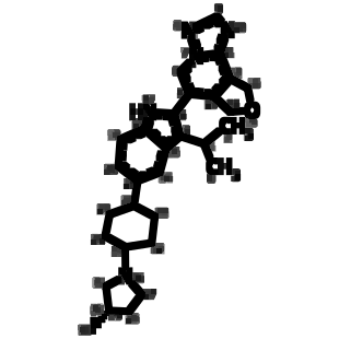 CC(C)c1c(-c2cn3ncnc3c3c2COC3)[nH]c2ccc(C3CCC(N4CC[C@H](F)C4)CC3)cc12